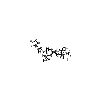 CC1OB(c2cnc(NCCN3CCCC3)c(C(F)(F)F)c2)OC1(C)C